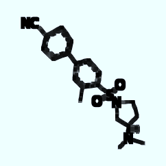 Cc1cc(-c2ccc(C#N)cc2)ccc1S(=O)(=O)N1CC[C@@H](N(C)C)C1